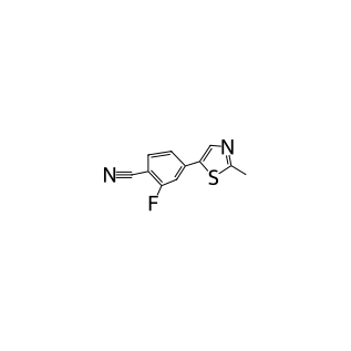 Cc1ncc(-c2ccc(C#N)c(F)c2)s1